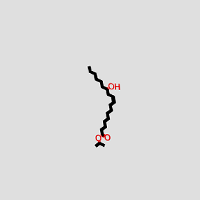 CCCCCCC(O)C/C=C\CCCCCCCC(=O)OC(C)C